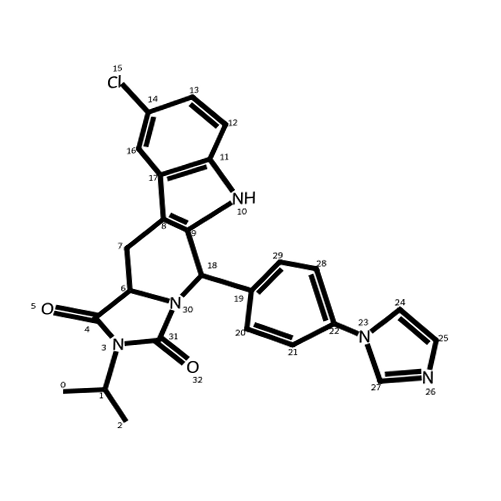 CC(C)N1C(=O)C2Cc3c([nH]c4ccc(Cl)cc34)C(c3ccc(-n4ccnc4)cc3)N2C1=O